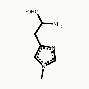 Cn1cnc(CC(N)[C]=O)c1